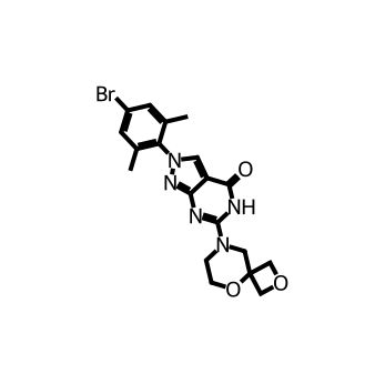 Cc1cc(Br)cc(C)c1-n1cc2c(=O)[nH]c(N3CCOC4(COC4)C3)nc2n1